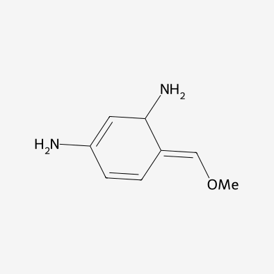 COC=C1C=CC(N)=CC1N